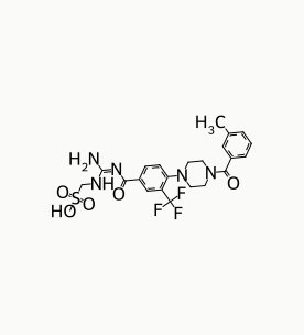 Cc1cccc(C(=O)N2CCN(c3ccc(C(=O)N=C(N)NCS(=O)(=O)O)cc3C(F)(F)F)CC2)c1